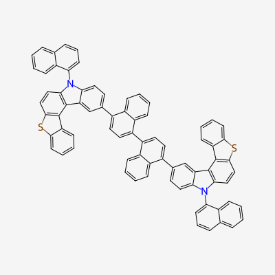 c1ccc2c(-n3c4ccc(-c5ccc(-c6ccc(-c7ccc8c(c7)c7c9c(ccc7n8-c7cccc8ccccc78)sc7ccccc79)c7ccccc67)c6ccccc56)cc4c4c5c(ccc43)sc3ccccc35)cccc2c1